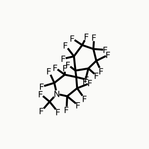 FC(F)(F)N1C(F)(F)C(F)(F)C(F)(C2(F)C(F)(F)C(F)(F)C(F)(F)C(F)(F)C2(F)F)C(F)(F)C1(F)F